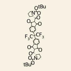 CC(C)(C)OC(=O)N1CCC[C@H]1C(=O)C1C(=O)c2ccc(C(c3ccc4c(c3)C(=O)C(C(=O)[C@@H]3CCCN3C(=O)OC(C)(C)C)C4=O)(C(F)(F)F)C(F)(F)F)cc2C1=O